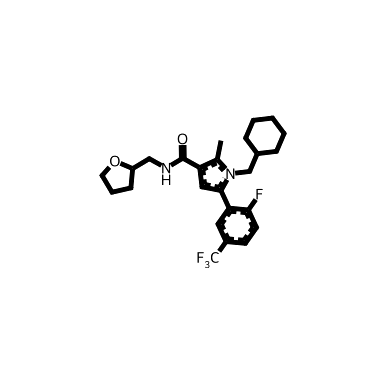 Cc1c(C(=O)NCC2CCCO2)cc(-c2cc(C(F)(F)F)ccc2F)n1CC1CCCCC1